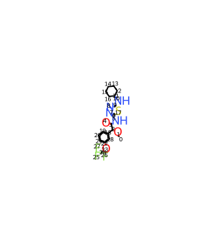 COC(C(=O)Nc1nnc(NC2CCCCC2)s1)c1cccc(OC(F)(F)F)c1